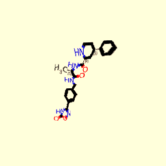 C[C@H](NC(=O)[C@H]1C[C@@H](c2ccccc2)CCN1)C(=O)NCc1ccc(-c2noc(=O)[nH]2)cc1